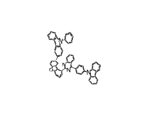 c1ccc(-n2c3ccccc3c3cc(-c4ccc5oc6cccc(-c7nc(-c8ccc(-n9c%10ccccc%10c%10ccccc%109)cc8)c8ccccc8n7)c6c5c4)ccc32)cc1